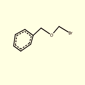 BrCOCc1ccccc1